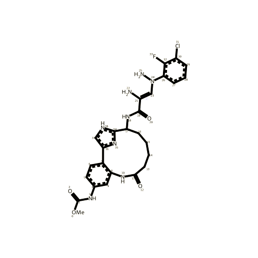 COC(=O)Nc1ccc2c(c1)NC(=O)CCCCC(NC(=O)/C(N)=C/N(N)c1cccc(Cl)c1F)c1nc-2c[nH]1